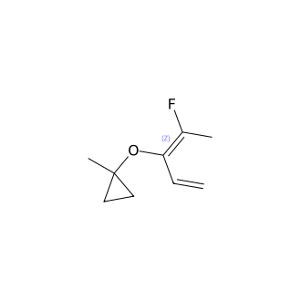 C=C/C(OC1(C)CC1)=C(\C)F